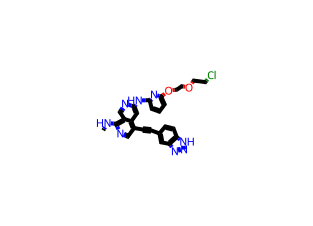 CNc1ncc(C#Cc2ccc3[nH]nnc3c2)c2cc(Nc3cccc(OCCOCCCl)n3)ncc12